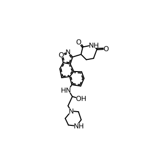 O=C1CCC(c2noc3ccc4c(NC(O)CN5CCNCC5)cccc4c23)C(=O)N1